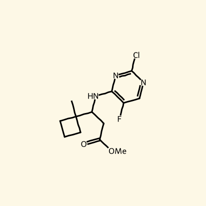 COC(=O)CC(Nc1nc(Cl)ncc1F)C1(C)CCC1